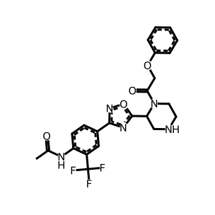 CC(=O)Nc1ccc(-c2noc(C3CNCCN3C(=O)COc3ccccc3)n2)cc1C(F)(F)F